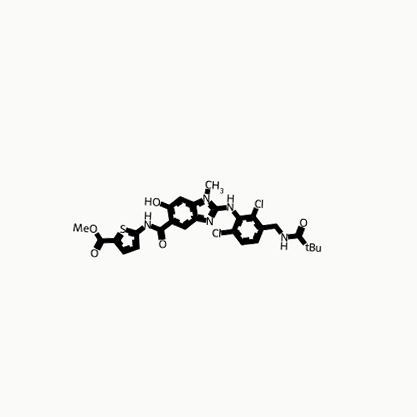 COC(=O)c1ccc(NC(=O)c2cc3nc(Nc4c(Cl)ccc(CNC(=O)C(C)(C)C)c4Cl)n(C)c3cc2O)s1